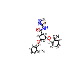 N#Cc1ccccc1COc1cc(OCc2ccccc2C#N)cc(C(=O)Nc2nncs2)c1